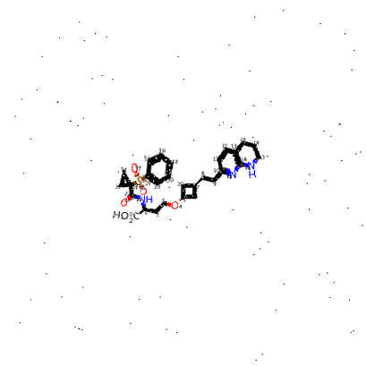 O=C(O)[C@H](CCO[C@H]1C[C@H](CCc2ccc3c(n2)NCCC3)C1)NC(=O)C1(S(=O)(=O)c2ccccc2)CC1